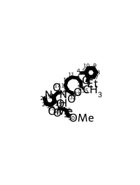 CCO[C@@H]1[C@@H](Cc2ccccc2)CCC[C@H](NC(=O)c2nccc(OC)c2OC(=O)CCOC)C(=O)O[C@H]1C